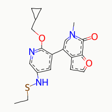 CCSNc1cnc(OCC2CC2)c(-c2cn(C)c(=O)c3occc23)c1